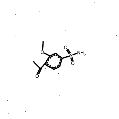 COc1cc(S(N)(=O)=O)ccc1C(C)=O